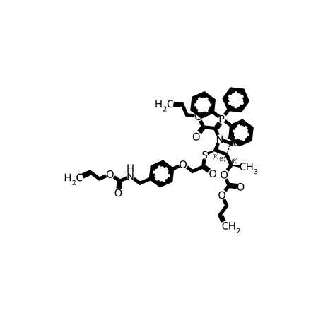 C=CCOC(=O)NCc1ccc(OCC(=O)S[C@@H]2[C@@H]([C@@H](C)OC(=O)OCC=C)C(=O)N2C(C(=O)OCC=C)=P(c2ccccc2)(c2ccccc2)c2ccccc2)cc1